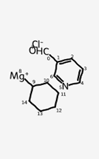 O=Cc1cccnc1.[Cl-].[Mg+][CH]1CCCCC1